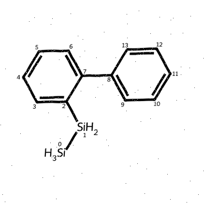 [SiH3][SiH2]c1ccccc1-c1ccccc1